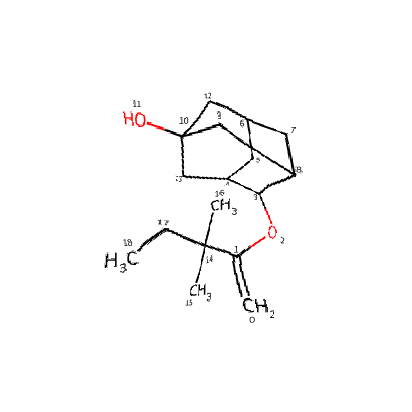 C=C(OC1C2CC3CC1CC(O)(C3)C2)C(C)(C)CC